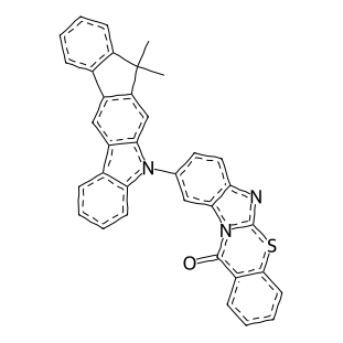 CC1(C)c2ccccc2-c2cc3c4ccccc4n(-c4ccc5nc6sc7ccccc7c(=O)n6c5c4)c3cc21